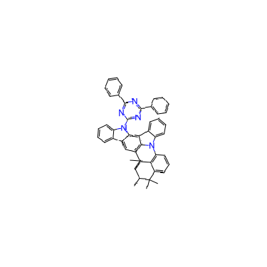 CC1CC2(C)c3c(cccc3C1(C)C)-n1c3ccccc3c3c1c2cc1c2ccccc2n(-c2nc(-c4ccccc4)nc(-c4ccccc4)n2)c13